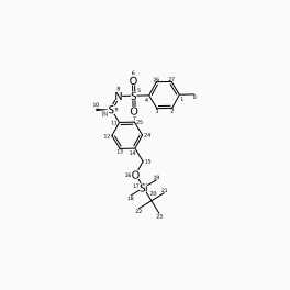 Cc1ccc(S(=O)(=O)N=[S@](C)c2ccc(CO[Si](C)(C)C(C)(C)C)cc2)cc1